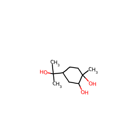 CC(C)(O)C1CCC(C)(O)C(O)C1